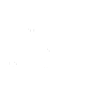 NCCC(=O)N(CCc1ccccc1)C[C@@H]1CCCN1